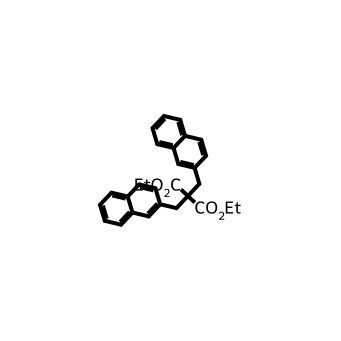 CCOC(=O)C(Cc1ccc2ccccc2c1)(Cc1ccc2ccccc2c1)C(=O)OCC